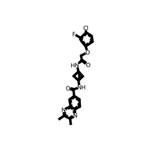 Cc1nc2ccc(C(=O)NC34CC(NC(=O)COc5ccc(Cl)c(F)c5)(C3)C4)cc2nc1C